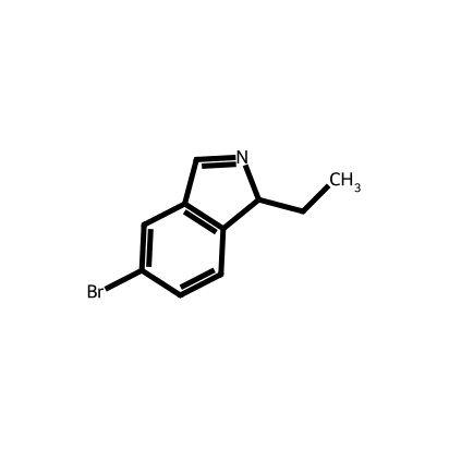 CCC1N=Cc2cc(Br)ccc21